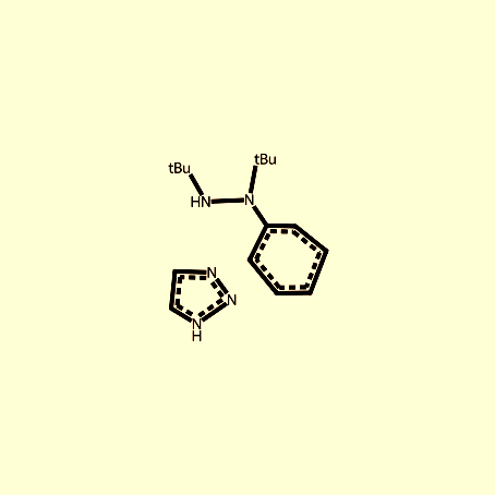 CC(C)(C)NN(c1ccccc1)C(C)(C)C.c1c[nH]nn1